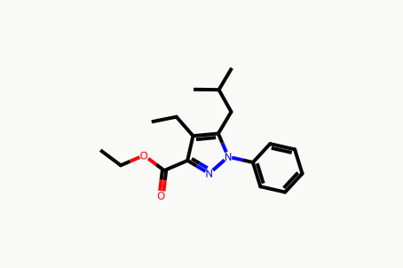 CCOC(=O)c1nn(-c2ccccc2)c(CC(C)C)c1CC